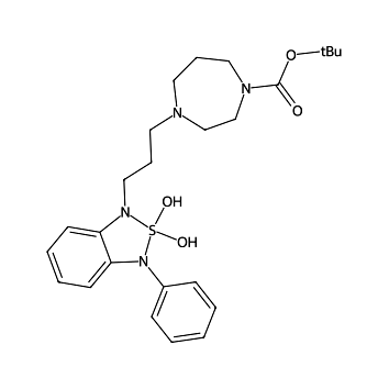 CC(C)(C)OC(=O)N1CCCN(CCCN2c3ccccc3N(c3ccccc3)S2(O)O)CC1